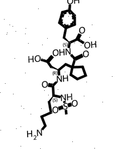 CS(=O)(=O)N[C@@H](CCCCN)C(=O)N[C@@H](CC(=O)O)CC1(C(=O)N[C@@H](Cc2ccc(O)cc2)C(=O)O)CCCC1